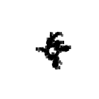 C[C@@H](O)[C@@H]1NC(=O)[C@H](CCCCN)NC(=O)[C@@H](Cc2ccc(NC(=O)[C@@H](N)CCCCN)cc2)NC(=O)[C@H](Cc2ccc(O)cc2)NC(=O)[C@H](NC(=O)[C@@H](N)Cc2ccc(Cl)cc2)CSSC[C@@H](C(=O)N[C@H](Cc2ccc(O)cc2)C(N)=O)NC1=O